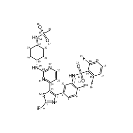 CC(C)c1nc(-c2ccc(F)c(NS(=O)(=O)c3c(F)cccc3F)c2)c(-c2ccnc(N[C@H]3CC[C@H](NS(C)(=O)=O)CC3)n2)s1